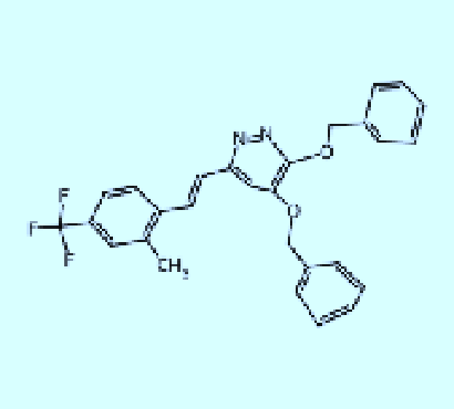 Cc1cc(C(F)(F)F)ccc1C=Cc1cc(OCc2ccccc2)c(OCc2ccccc2)nn1